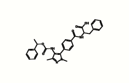 Cc1nn(C)c(-c2ccc(C(=O)NC(Cc3ccccc3)C(=O)O)cc2)c1NC(=O)OC(C)c1ccccc1